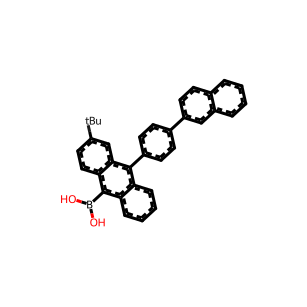 CC(C)(C)c1ccc2c(B(O)O)c3ccccc3c(-c3ccc(-c4ccc5ccccc5c4)cc3)c2c1